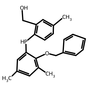 Cc1ccc(Pc2cc(C)cc(C)c2OCc2ccccc2)c(CO)c1